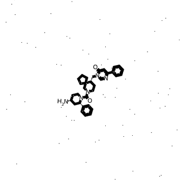 N[C@@H]1CCN(C(=O)N2CC[C@@H](Cn3cnc(-c4ccccc4)cc3=O)C3(CCCC3)C2)[C@H](c2ccccc2)C1